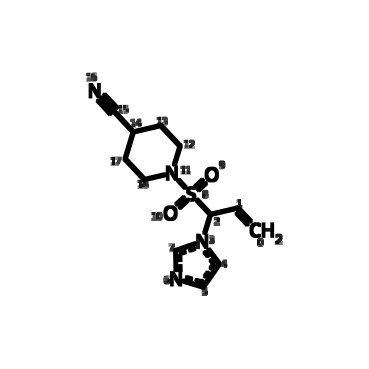 C=CC(n1ccnc1)S(=O)(=O)N1CCC(C#N)CC1